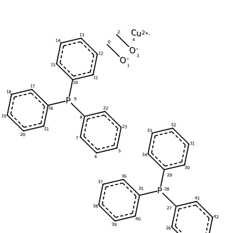 C[O-].C[O-].[Cu+2].c1ccc(P(c2ccccc2)c2ccccc2)cc1.c1ccc(P(c2ccccc2)c2ccccc2)cc1